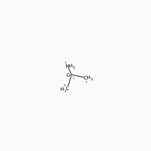 [CH3][Ge]([CH3])[NH2]